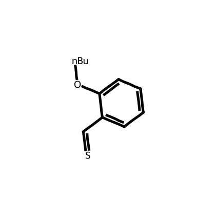 CCCCOc1ccccc1C=S